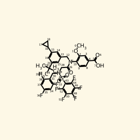 COc1cc(C(=O)O)ccc1N(Cc1cc(C2CC2)cc(C(C)(C)C)c1)C(=O)CN(Cc1c(F)cc(F)cc1F)S(=O)(=O)c1c(F)c(F)c(F)c(F)c1F